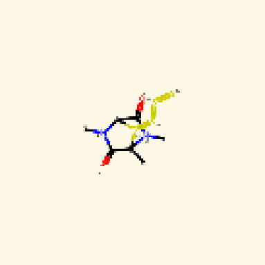 CN1C(=O)C2(C)N(C)C(=O)C1S2=S=S=S